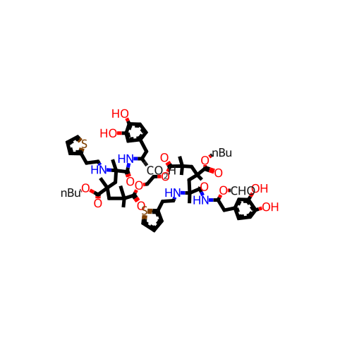 CCCCOC(=O)C(C)(CC(C)(C)C(=O)OCCOC(=O)C(C)(C)CC(C)(CC(C)(NCCc1cccs1)C(=O)NC(Cc1ccc(O)c(O)c1)C(=O)O)C(=O)OCCCC)CC(C)(NCCc1cccs1)C(=O)NC(Cc1ccc(O)c(O)c1)OC=O